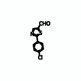 O=Cc1cnc(-c2ccc(Cl)cc2)s1